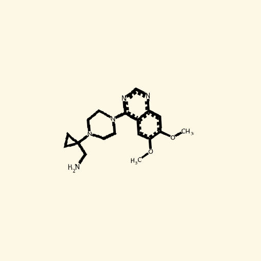 COc1cc2ncnc(N3CCN(C4(CN)CC4)CC3)c2cc1OC